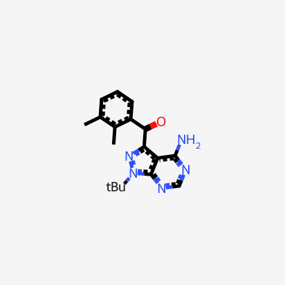 Cc1cccc(C(=O)c2nn(C(C)(C)C)c3ncnc(N)c23)c1C